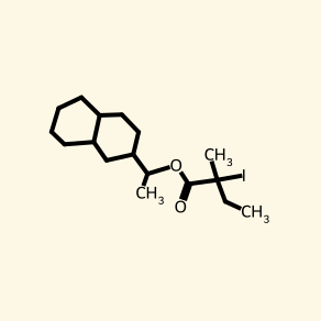 CCC(C)(I)C(=O)OC(C)C1CCC2CCCCC2C1